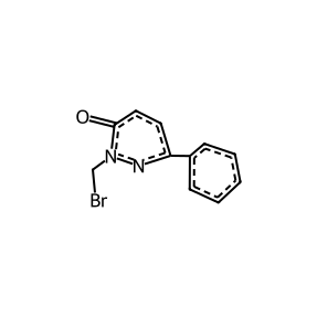 O=c1ccc(-c2ccccc2)nn1CBr